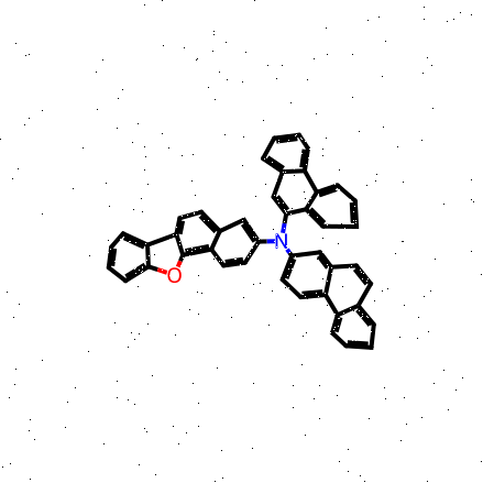 c1ccc2c(c1)ccc1cc(N(c3ccc4c(ccc5c6ccccc6oc45)c3)c3cc4ccccc4c4ccccc34)ccc12